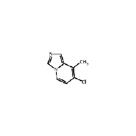 Cc1c(Cl)ccn2cncc12